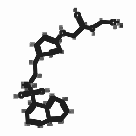 CCOC(=O)COc1ccc(CCNS(=O)(=O)c2cccc3ccccc23)cc1